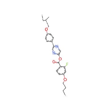 CCCCOc1ccc(C(=O)Oc2cnc(-c3ccc(OCC(C)CC)cc3)cn2)c(F)c1